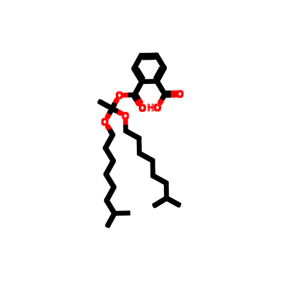 CC(C)CCCCCCOC(C)(OCCCCCCC(C)C)OC(=O)c1ccccc1C(=O)O